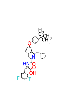 CC(C)(C)c1ccc(Oc2ccc3cc(C(=O)N[C@@H](Cc4cc(F)cc(F)c4)C(=O)O)nc(CC4CCCC4)c3c2)cc1